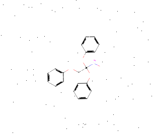 O=[N+]([O-])C(COc1ccccc1)(Oc1ccccc1)Oc1ccccc1